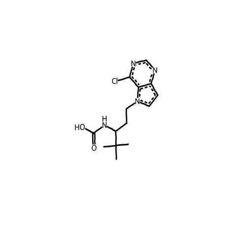 CC(C)(C)C(CCn1ccc2ncnc(Cl)c21)NC(=O)O